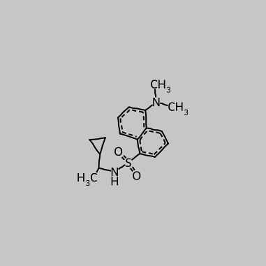 CC(NS(=O)(=O)c1cccc2c(N(C)C)cccc12)C1CC1